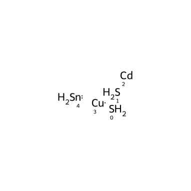 S.S.[Cd].[Cu].[SnH2]